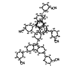 N#Cc1cccc(-c2ccc3c(c2)c2cc(-c4cccc(C#N)c4)ccc2n3-c2ccc(-c3ccc(C(F)(F)F)cc3C(F)(F)F)c(-c3cc(C#N)ccc3-n3c4ccc(-c5cccc(C#N)c5)cc4c4cc(-c5cccc(C#N)c5)ccc43)c2)c1